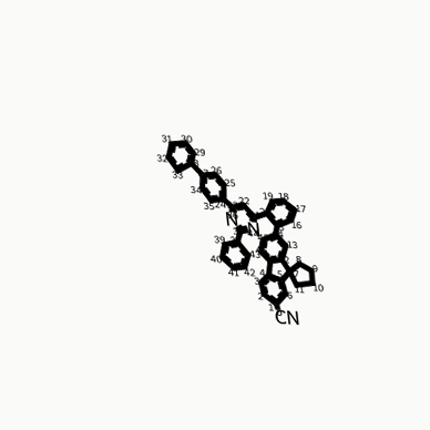 N#Cc1ccc2c(c1)C1(CCCC1)c1cc(-c3ccccc3-c3cc(-c4ccc(-c5ccccc5)cc4)nc(-c4ccccc4)n3)ccc1-2